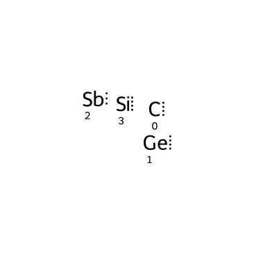 [C].[Ge].[Sb].[Si]